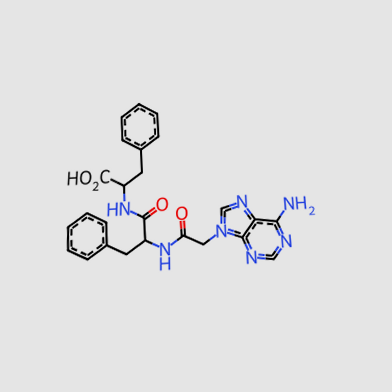 Nc1ncnc2c1ncn2CC(=O)NC(Cc1ccccc1)C(=O)NC(Cc1ccccc1)C(=O)O